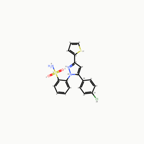 NS(=O)(=O)c1ccccc1-n1nc(-c2cccs2)cc1-c1ccc(Cl)cc1